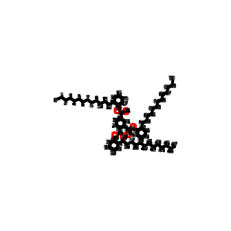 CCCCCCCCCCCCCc1ccccc1OC(=O)c1ccc(C(=O)Oc2ccccc2CCCCCCCCCCCCC)c(C(=O)Oc2ccccc2CCCCCCCCCCCCC)c1